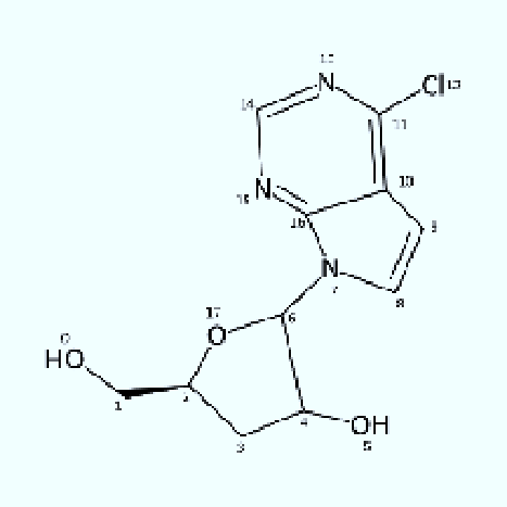 OC[C@@H]1CC(O)C(n2ccc3c(Cl)ncnc32)O1